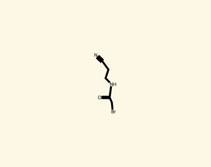 N#CCCNC(=O)CBr